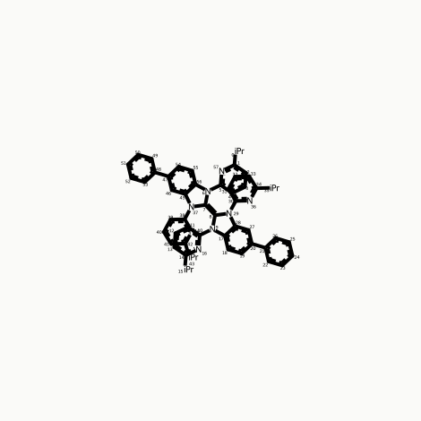 CC(C)c1cccc(N2/C(=C3/N(c4cccc(C(C)C)n4)c4ccc(-c5ccccc5)cc4N3c3cccc(C(C)C)n3)N(c3cccc(C(C)C)n3)c3cc(-c4ccccc4)ccc32)n1